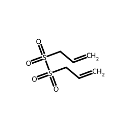 C=CCS(=O)(=O)S(=O)(=O)CC=C